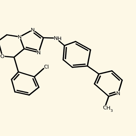 Cc1cc(-c2ccc(Nc3nc4n(n3)CCOC4c3ccccc3Cl)cc2)ccn1